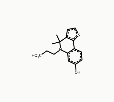 CC1(C)c2ccsc2-c2ccc(O)cc2N1CCC(=O)O